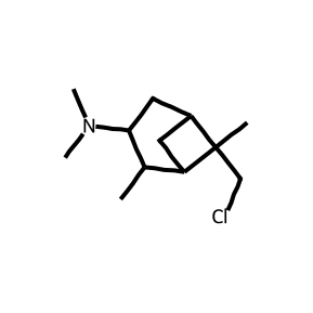 CC1C(N(C)C)CC2CC1C2(C)CCl